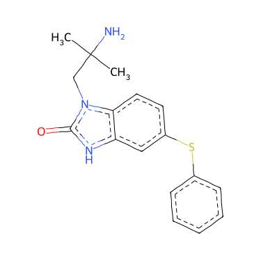 CC(C)(N)Cn1c(=O)[nH]c2cc(Sc3ccccc3)ccc21